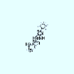 C[Si]1(C)CCC[C@@H](NC(=O)c2cc3sc(-c4ccccc4)nc3[nH]2)NC1